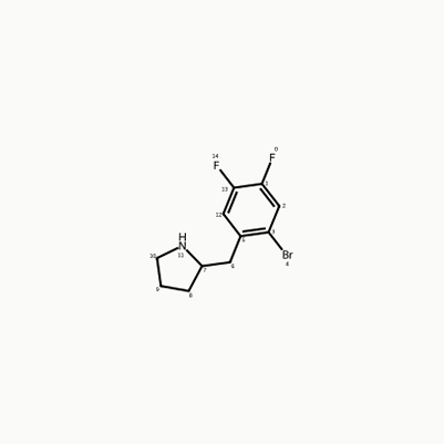 Fc1cc(Br)c(CC2CCCN2)cc1F